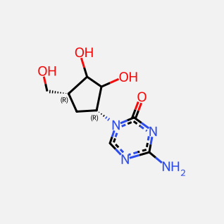 Nc1ncn([C@@H]2C[C@H](CO)C(O)C2O)c(=O)n1